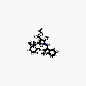 CCOC(=O)C1=C(NN2C(C)CCCC2C)O/C(=C\c2c[nH]c3ncccc23)C1=O